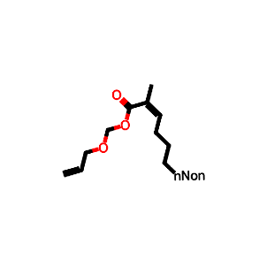 C=CCOCOC(=O)C(C)=CCCCCCCCCCCCC